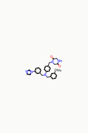 COc1cccc(CN(Cc2cccc(-n3ccnc3)c2)c2ccc(CN3CC(=O)NCC3=O)cc2)c1